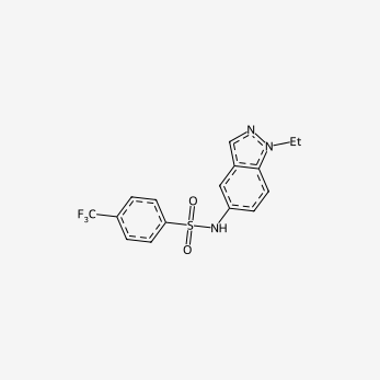 CCn1ncc2cc(NS(=O)(=O)c3ccc(C(F)(F)F)cc3)ccc21